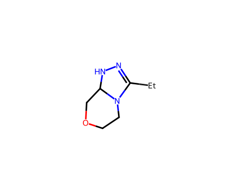 CCC1=NNC2COCCN12